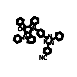 N#Cc1ccc(-c2nc(-c3ccccc3)nc(-c3ccc(-n4c5ccccc5c5c6c7ccccc7oc6c6c(c7ccccc7n6-c6ccccc6)c54)cc3)n2)cc1